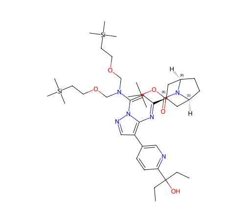 CCC(O)(CC)c1ccc(-c2cnn3c(N(COCC[Si](C)(C)C)COCC[Si](C)(C)C)cc([C@H]4C[C@H]5CC[C@@H](C4)N5C(=O)OC(C)(C)C)nc23)cn1